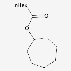 CCCCC[CH]C(=O)OC1CCCCCC1